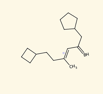 B=C(/C=C(\C)CCC1CCC1)CC1CCCC1